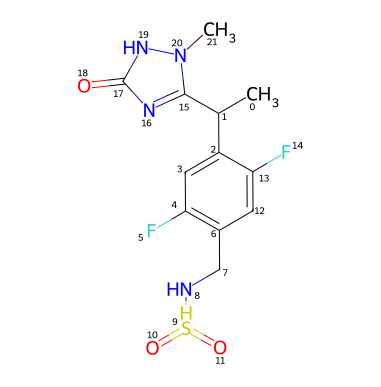 CC(c1cc(F)c(CN[SH](=O)=O)cc1F)c1nc(=O)[nH]n1C